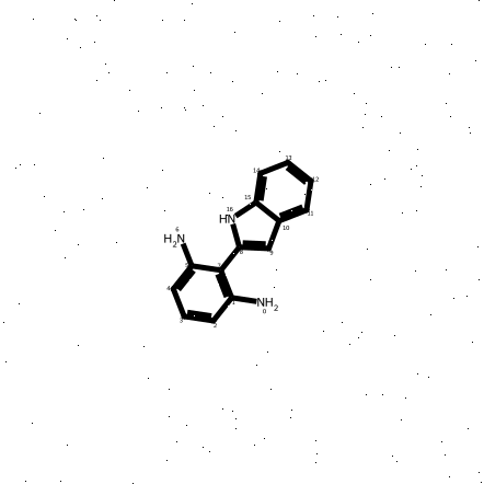 Nc1cccc(N)c1-c1cc2ccccc2[nH]1